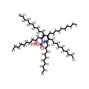 CCCCCCCCCCc1c(CCCCCCCCCC)c(CCCCCCCCCC)[n+](C(=O)O)c(CCCCCCCCCC)c1CCCCCCCCCC